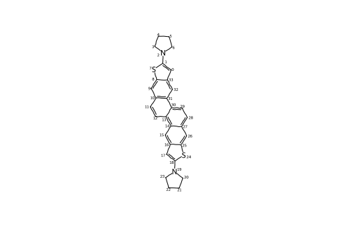 c1c(N2CCCC2)sc2cc3ccc4c5cc6cc(N7CCCC7)sc6cc5ccc4c3cc12